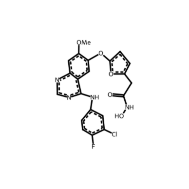 COc1cc2ncnc(Nc3ccc(F)c(Cl)c3)c2cc1Oc1ccc(CC(=O)NO)o1